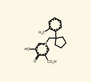 Cc1ccccc1C1(Cn2cc(O)c(=O)c(C(=O)O)c2)CCCC1